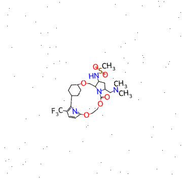 CN(C)CC1CC(NS(C)(=O)=O)C2COC3CCC(CC3)c3nc(ccc3C(F)(F)F)OCCOC(=O)N12